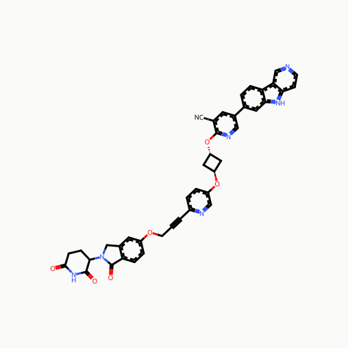 N#Cc1cc(-c2ccc3c(c2)[nH]c2ccncc23)cnc1O[C@H]1C[C@H](Oc2ccc(C#CCOc3ccc4c(c3)CN(C3CCC(=O)NC3=O)C4=O)nc2)C1